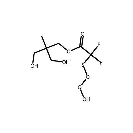 CC(CO)(CO)COC(=O)C(F)(F)SOOO